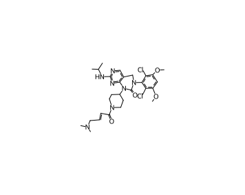 COc1cc(OC)c(Cl)c(N2Cc3cnc(NC(C)C)nc3N(C3CCN(C(=O)C=CCN(C)C)CC3)C2=O)c1Cl